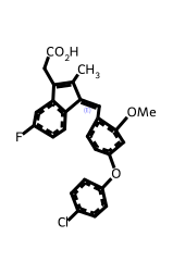 COc1cc(Oc2ccc(Cl)cc2)ccc1/C=C1/C(C)=C(CC(=O)O)c2cc(F)ccc21